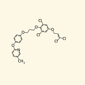 Cc1ccc(Oc2ccc(OCCCOc3c(Cl)cc(OCC=C(Cl)Cl)cc3Cl)cc2)nc1